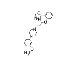 COc1cccc(N2CCN(CCCOc3ccccc3-c3nnco3)CC2)c1